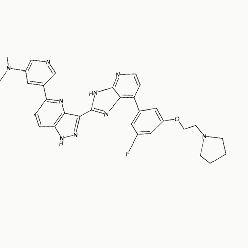 CN(C)c1cncc(-c2ccc3[nH]nc(-c4nc5c(-c6cc(F)cc(OCCN7CCCC7)c6)ccnc5[nH]4)c3n2)c1